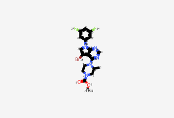 CC1CN(C(=O)OC(C)(C)C)CCN1c1ncnc2c1c(Br)cn2-c1cc(F)cc(F)c1